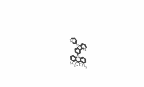 CC1(C)c2ccccc2N(c2ccc3c(c2)c2ncccc2n3-c2cccnc2)c2ccccc21